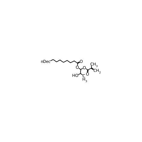 C=C(C)C(=O)OC(OC(=O)CCCCCCCCCCCCCCCCC)C(C)O